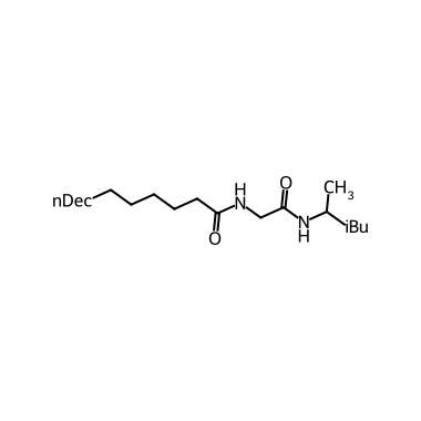 CCCCCCCCCCCCCCCC(=O)NCC(=O)NC(C)C(C)CC